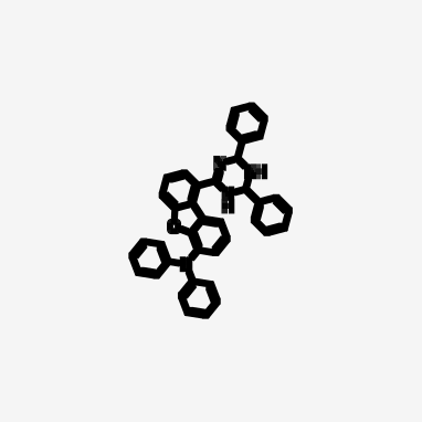 c1ccc(C2N=C(c3cccc4oc5c(N(c6ccccc6)c6ccccc6)cccc5c34)NC(c3ccccc3)N2)cc1